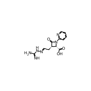 N=C(N)N/N=C/C[C@H]1C(=O)N(c2ccccn2)[C@@H]1C(=O)O